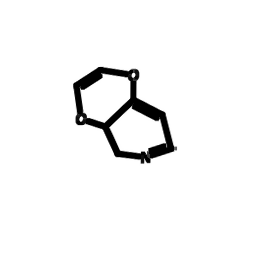 [C]1=NCC2OC=COC2=C1